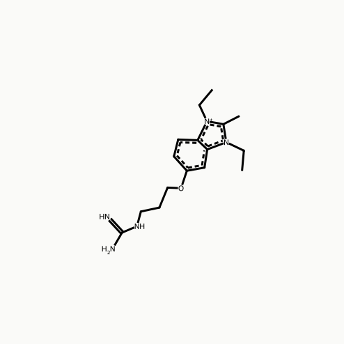 CCn1c(C)[n+](CC)c2ccc(OCCCNC(=N)N)cc21